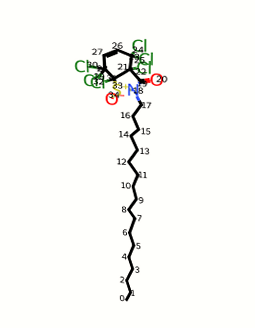 CCCCCCCCCCCCCCCCCCN1C(=O)C2(Cl)C(Cl)(Cl)C=CC(Cl)(Cl)C2(Cl)[S+]1[O-]